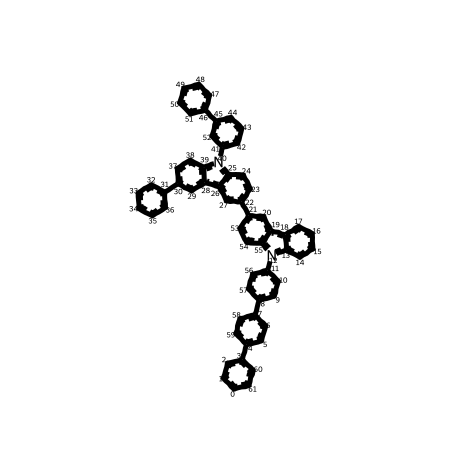 c1ccc(-c2ccc(-c3ccc(-n4c5ccccc5c5cc(-c6ccc7c(c6)c6cc(-c8ccccc8)ccc6n7-c6cccc(-c7ccccc7)c6)ccc54)cc3)cc2)cc1